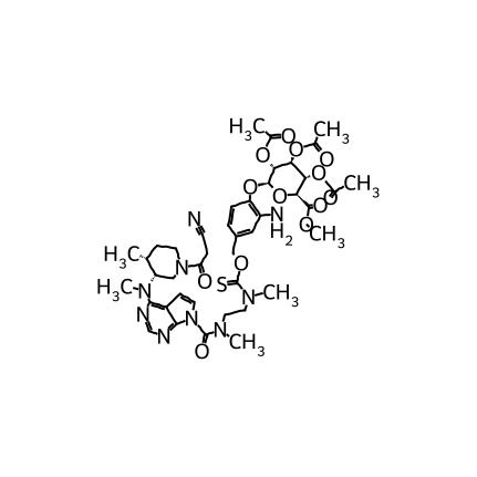 COC(=O)[C@H]1O[C@@H](Oc2ccc(COC(=S)N(C)CCN(C)C(=O)n3ccc4c(N(C)[C@H]5CN(C(=O)CC#N)CC[C@H]5C)ncnc43)cc2N)[C@H](OC(C)=O)[C@@H](OC(C)=O)[C@@H]1OC(C)=O